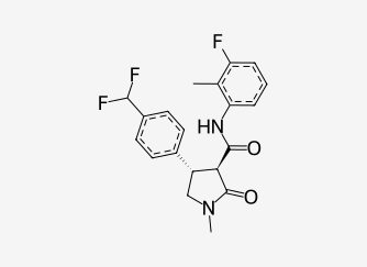 Cc1c(F)cccc1NC(=O)[C@H]1C(=O)N(C)C[C@@H]1c1ccc(C(F)F)cc1